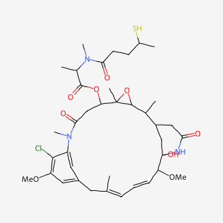 COc1cc2cc(c1Cl)N(C)C(=O)CC(OC(=O)C(C)N(C)C(=O)CCC(C)S)C1(C)OC1C(C)C1CC(=O)NC(O)(C1)C(OC)/C=C/C=C(\C)C2